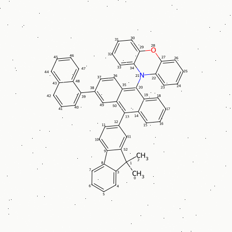 CC1(C)c2ccccc2-c2ccc(-c3c4ccccc4c(N4c5ccccc5Oc5ccccc54)c4ccc(-c5cccc6ccccc56)cc34)cc21